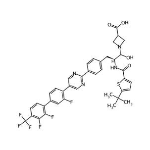 CC(C)(C)c1ccc(C(=O)N[C@@H](Cc2ccc(-c3ncc(-c4ccc(-c5ccc(C(F)(F)F)c(F)c5F)cc4F)cn3)cc2)C(O)N2CC(C(=O)O)C2)s1